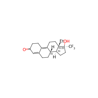 CC[C@]12CCC3=C4CCC(=O)C=C4CC[C@H]3[C@@H]1CC[C@@]2(O)C(F)(F)F